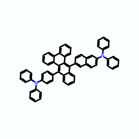 c1ccc(N(c2ccccc2)c2ccc(-c3c4ccccc4c(-c4ccc5cc(N(c6ccccc6)c6ccccc6)ccc5c4)c4c5ccccc5c5ccccc5c34)cc2)cc1